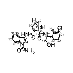 NC(=O)n1cc(NC(=O)N2C[C@H]3C[C@H]3[C@H]2C(=O)N[C@H](CO)c2cccc(Cl)c2F)c2ccccc21